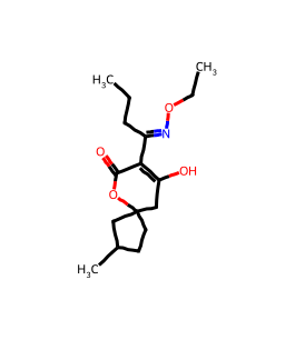 CCC/C(=N\OCC)C1=C(O)CC2(CCC(C)C2)OC1=O